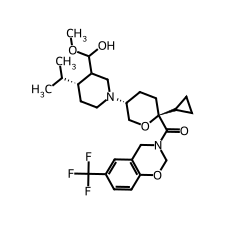 COC(O)C1CN([C@@H]2CC[C@@](C(=O)N3COc4ccc(C(F)(F)F)cc4C3)(C3CC3)OC2)CC[C@@H]1C(C)C